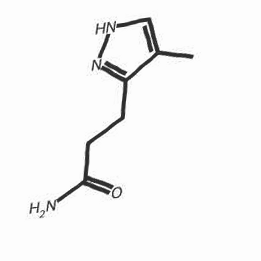 Cc1c[nH]nc1CCC(N)=O